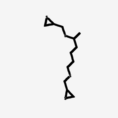 CC(CCCCSCC1CS1)SCC1CS1